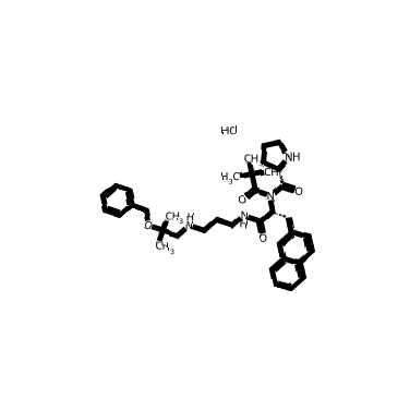 CC(C)(CNCCCNC(=O)[C@@H](Cc1ccc2ccccc2c1)N(C(=O)[C@@H]1CCCN1)C(=O)C(C)(C)C)OCc1ccccc1.Cl